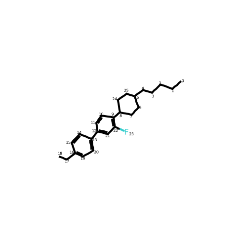 CCCCCC1CCC(c2ccc(-c3ccc(CC)cc3)cc2F)CC1